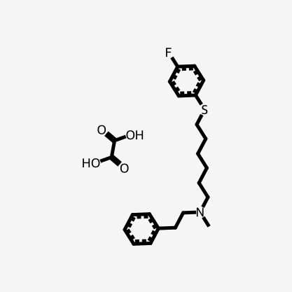 CN(CCCCCCSc1ccc(F)cc1)CCc1ccccc1.O=C(O)C(=O)O